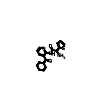 NC(C(=O)Nc1ncccc1C(=O)C1CCCCC1)c1cccs1